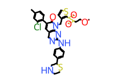 COCCS(=O)(=O)c1sccc1Cn1c(=O)c(-c2ccc(C)cc2Cl)cc2cnc(Nc3ccc(C4CNCCS4)cc3)nc21